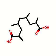 CC(CC(C)CC(C)C(=O)O)CC(C)C(=O)O